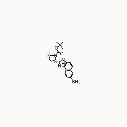 Bc1ccc2c(ccc3[nH]c([C@@H]4CC[C@H](C)N4C(=O)OC(C)(C)C)nc32)c1